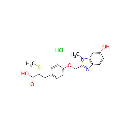 CSC(Cc1ccc(OCc2nc3ccc(O)cc3n2C)cc1)C(=O)O.Cl